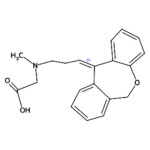 CN(CC/C=C1\c2ccccc2COc2ccccc21)CC(=O)O